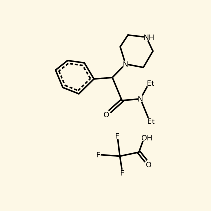 CCN(CC)C(=O)C(c1ccccc1)N1CCNCC1.O=C(O)C(F)(F)F